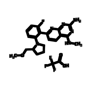 CNc1nc(N)nc2nc(-c3c(F)cccc3N3CCCC3COC)ccc12.O=C(O)C(F)(F)F